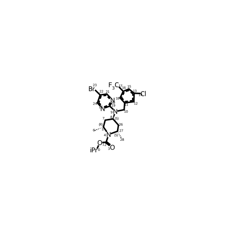 CC(C)OC(=O)N1[C@H](C)C[C@@H](N(Cc2cc(Cl)cc(C(F)(F)F)c2)c2ncc(Br)cn2)C[C@@H]1C